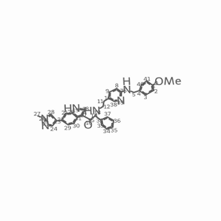 COc1ccc(CNc2ccc(CCNC(C(=O)c3c[nH]c4cc(-c5cnn(C)c5)ccc34)c3ccccc3)cn2)cc1